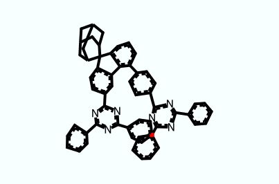 c1ccc(-c2nc(-c3ccccc3)nc(-c3ccc(-c4cccc5c4-c4cc(-c6nc(-c7ccccc7)nc(-c7ccccc7)n6)ccc4C54C5CC6CC(C5)CC4C6)cc3)n2)cc1